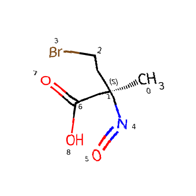 C[C@](CBr)(N=O)C(=O)O